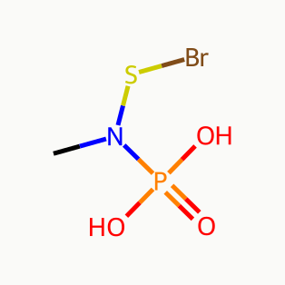 CN(SBr)P(=O)(O)O